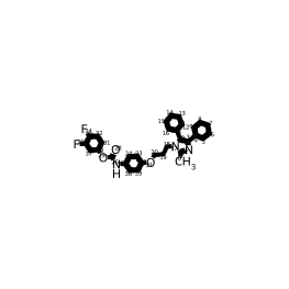 Cc1nc(-c2ccccc2)c(-c2ccccc2)n1CCCOc1ccc(NC(=O)Oc2ccc(F)c(F)c2)cc1